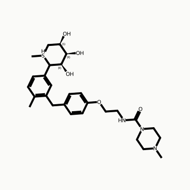 Cc1ccc(C2[C@H](O)[C@H](O)[C@H](O)C[SH]2C)cc1Cc1ccc(OCCNC(=O)N2CCN(C)CC2)cc1